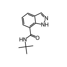 CC(C)(C)NC(=O)c1cccc2cn[nH]c12